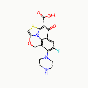 O=C(O)c1c(=O)c2cc(F)c(N3CCNCC3)c3c2n2c(csc12)OC3